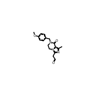 COc1ccc(CN2CCn3c(CC=O)nc(C)c3C2=O)cc1